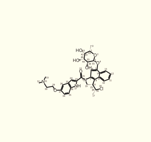 C[C@@H]1O[C@@H](Oc2cc3c(c4ccccc24)[C@H]([C@@H](C)Cl)CN3C(=O)c2cc3cc(OCCN(C)C)ccc3[nH]2)[C@@H](O)[C@H](O)[C@@H]1O